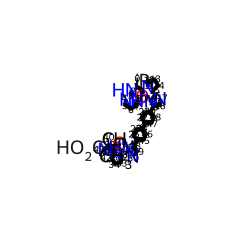 CC(C)[C@H](Nc1ncccn1)C(=O)N1CCC[C@H]1c1ncc(-c2ccc(-c3ccc(-c4cnc([C@@H]5CCCN5C(=O)[C@H](C)N(C)C(=O)O)[nH]4)cc3)cc2)[nH]1